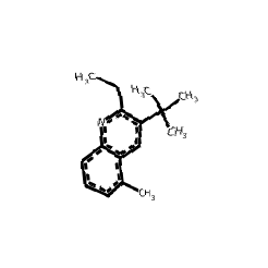 CCc1nc2cccc(C)c2cc1C(C)(C)C